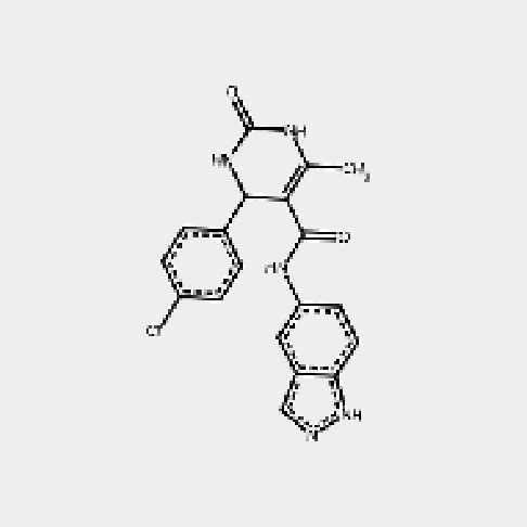 CC1=C(C(=O)Nc2ccc3[nH]ncc3c2)C(c2ccc(Cl)cc2)NC(=O)N1